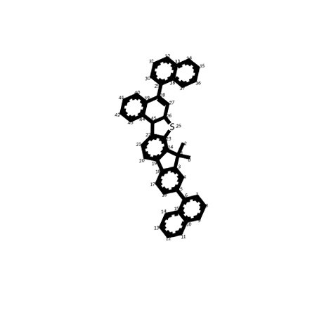 CC1(C)c2cc(-c3cccc4ccccc34)ccc2-c2ccc3c(c21)SC1C=C(c2cccc4ccccc24)c2ccccc2C31